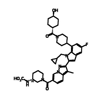 Cc1c(-c2cc3cc(F)cc(C4CCN(C(=O)[C@H]5CC[C@H](O)CC5)CC4)c3n2CC2CC2)nn2cc(C(=O)N3CCC[C@@H](NC(=O)O)C3)ccc12